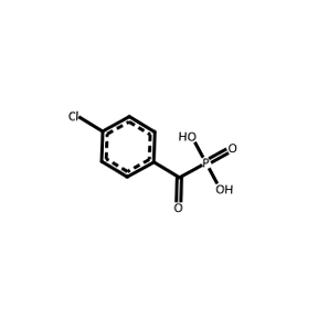 O=C(c1ccc(Cl)cc1)P(=O)(O)O